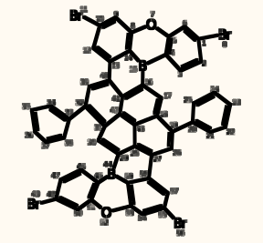 Brc1ccc2c(c1)Oc1cc(Br)cc3c1B2c1cc2c(-c4ccccc4)cc4c5c(cc6c(-c7ccccc7)cc-3c1c6c25)B1c2ccc(Br)cc2Oc2cc(Br)cc-4c21